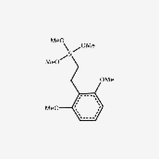 COc1cccc(OC)c1CC[Si](OC)(OC)OC